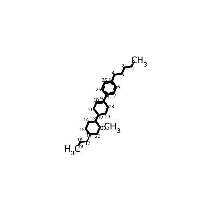 CCCCCc1ccc(C2=CCC(C3CC[C@H](CCC)C[C@H]3C)CC2)cc1